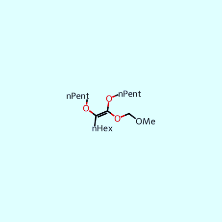 CCCCCCC(OCCCCC)=C(OCCCCC)OCOC